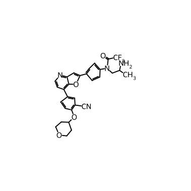 CC(N)CN(C(=O)C(F)(F)F)c1ccc(-c2cc3nccc(-c4ccc(OC5CCOCC5)c(C#N)c4)c3o2)cc1